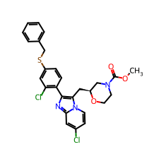 COC(=O)N1CCO[C@@H](Cc2c(-c3ccc(SCc4ccccc4)cc3Cl)nc3cc(Cl)ccn23)C1